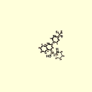 O[C@H](c1cc(-c2ccc(C(F)(F)F)nc2)nc2ccccc12)[C@H]1CCCCN1